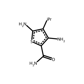 CC(C)c1c(N)sc(C(N)=O)c1N